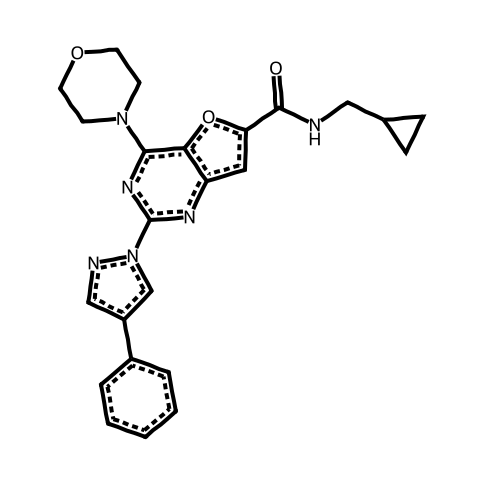 O=C(NCC1CC1)c1cc2nc(-n3cc(-c4ccccc4)cn3)nc(N3CCOCC3)c2o1